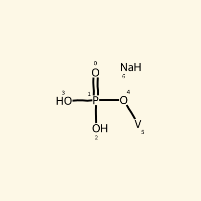 O=P(O)(O)[O][V].[NaH]